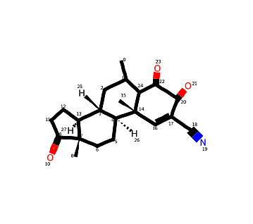 CC1C[C@@H]2[C@H](CC[C@]3(C)C(=O)CC[C@@H]23)[C@@]2(C)C=C(C#N)C(=O)C(=O)C12